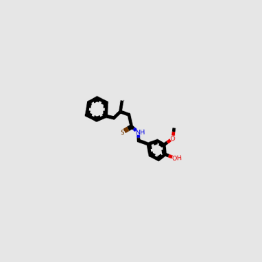 [CH2]C(CC(=S)NCc1ccc(O)c(OC)c1)Cc1ccccc1